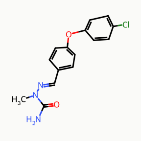 CN(N=Cc1ccc(Oc2ccc(Cl)cc2)cc1)C(N)=O